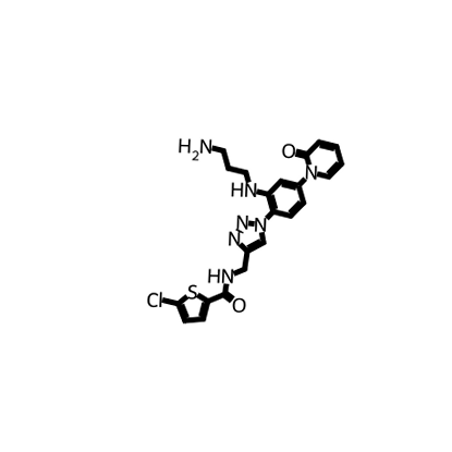 NCCCNc1cc(-n2ccccc2=O)ccc1-n1cc(CNC(=O)c2ccc(Cl)s2)nn1